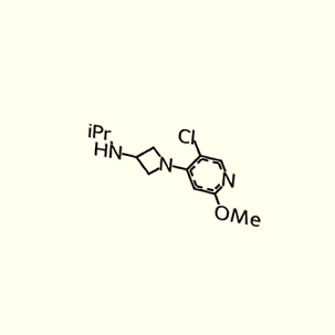 COc1cc(N2CC(NC(C)C)C2)c(Cl)cn1